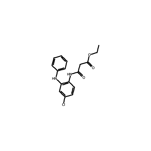 CCOC(=O)CC(=O)Nc1ccc(Cl)cc1Nc1ccccc1